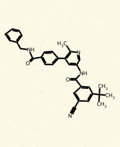 Cc1ncc(NC(=O)c2cc(C#N)cc(C(C)(C)C)c2)cc1-c1ccc(C(=O)NCc2ccccc2)cc1